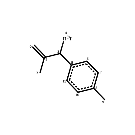 C=C(C)C(CCC)c1ccc(C)cc1